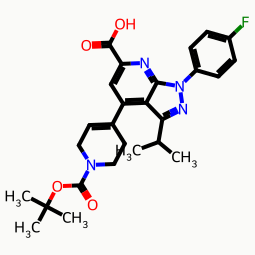 CC(C)c1nn(-c2ccc(F)cc2)c2nc(C(=O)O)cc(C3=CCN(C(=O)OC(C)(C)C)CC3)c12